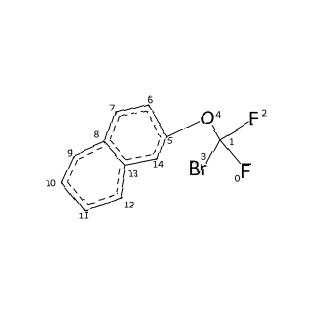 FC(F)(Br)Oc1ccc2ccccc2c1